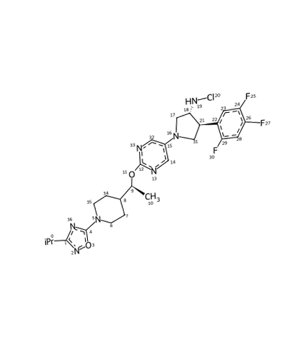 CC(C)c1noc(N2CCC([C@H](C)Oc3ncc(N4C[C@H](NCl)[C@@H](c5cc(F)c(F)cc5F)C4)cn3)CC2)n1